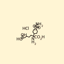 Cl.NC(CCCCB(O)O)(C(=O)O)C1CCN(S(N)(=O)=O)CC1